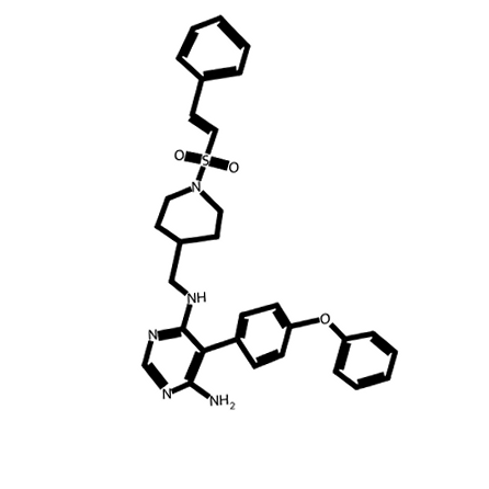 Nc1ncnc(NCC2CCN(S(=O)(=O)C=Cc3ccccc3)CC2)c1-c1ccc(Oc2ccccc2)cc1